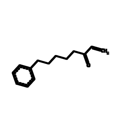 C=CC(=O)CCCCCc1ccccc1